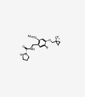 COc1cc(OCC2(C(F)(F)F)CC2)c(F)cc1CNC(=O)[C@@H]1CCCN1